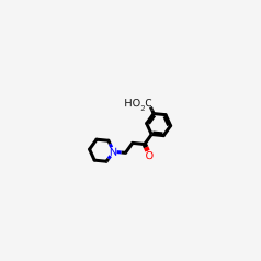 O=C(O)c1cccc(C(=O)CCN2CCCCC2)c1